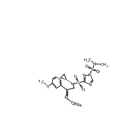 CO/N=C(\CN(C1CC1)S(=O)(=O)c1ncn(S(=O)(=O)N(C)C)n1)c1cccc(OC(F)(F)F)c1